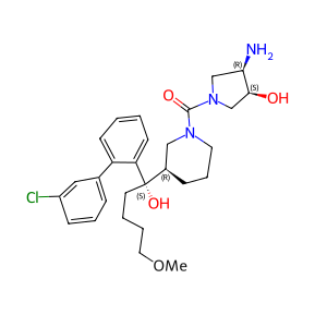 COCCCC[C@@](O)(c1ccccc1-c1cccc(Cl)c1)[C@@H]1CCCN(C(=O)N2C[C@@H](N)[C@@H](O)C2)C1